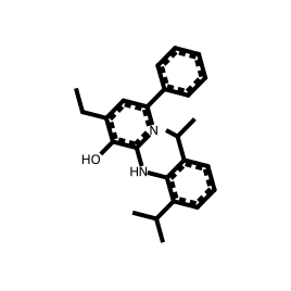 CCc1cc(-c2ccccc2)nc(Nc2c(C(C)C)cccc2C(C)C)c1O